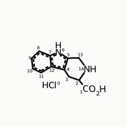 Cl.O=C(O)C1Cc2c([nH]c3ccccc23)CN1